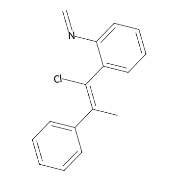 C=Nc1ccccc1/C(Cl)=C(\C)c1ccccc1